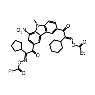 CCC(=O)O/N=C(/C(=O)c1ccc2c(c1)c1cc(C(=O)/C(=N/OC(=O)CC)C3CCCC3)cc([N+](=O)[O-])c1n2C)C1CCCCC1